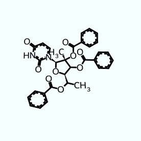 CC(OC(=O)c1ccccc1)[C@H]1O[C@@H](n2ccc(=O)[nH]c2=O)[C@](C)(OC(=O)c2ccccc2)C1OC(=O)c1ccccc1